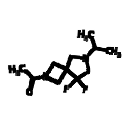 CC(=O)N1CC2(C1)CN(C(C)C)CC2(F)F